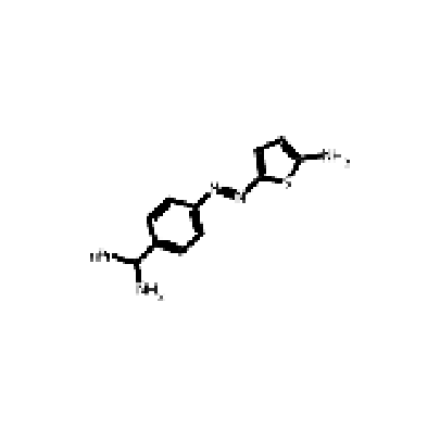 CCCC(N)c1ccc(N=Nc2ccc(N)s2)cc1